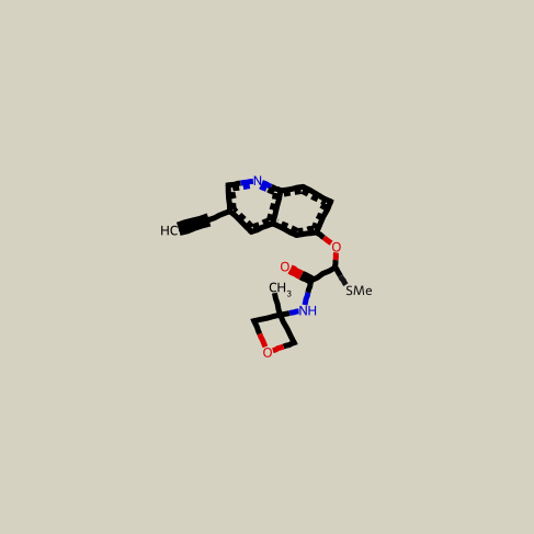 C#Cc1cnc2ccc(OC(SC)C(=O)NC3(C)COC3)cc2c1